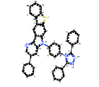 c1ccc(-c2cnc3c4cc5c(cc4n(-c4ccc(-n6c(-c7ccccc7)nnc6-c6ccccc6)cc4)c3c2)sc2ccccc25)cc1